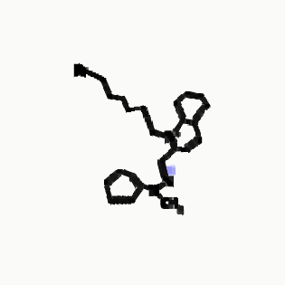 CN(/N=C/c1ccc2ccccc2[n+]1CCCCCCBr)c1ccccc1